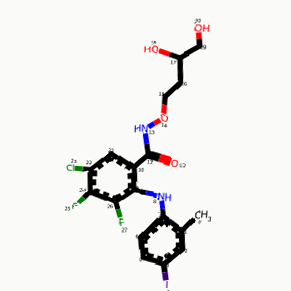 Cc1cc(I)ccc1Nc1c(C(=O)NOCCC(O)CO)cc(Cl)c(F)c1F